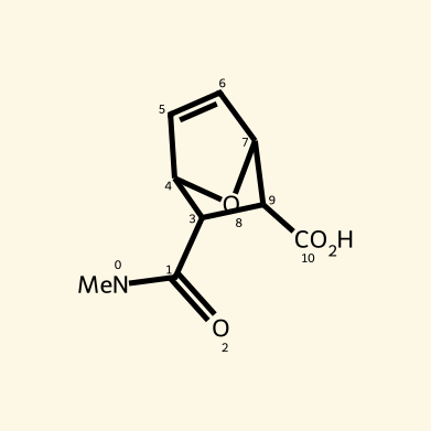 CNC(=O)C1C2C=CC(O2)C1C(=O)O